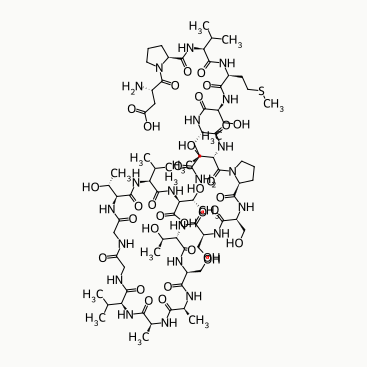 CSCC[C@H](NC(=O)[C@@H](NC(=O)[C@@H]1CCCN1C(=O)[C@@H](N)CC(=O)O)C(C)C)C(=O)N[C@H](C(=O)N[C@@H](CCC(N)=O)C(=O)N[C@H](C(=O)N1CCC[C@H]1C(=O)N[C@@H](CO)C(=O)N[C@@H](CO)C(=O)N[C@H](C(=O)N[C@@H](CO)C(=O)N[C@@H](C)C(=O)N[C@@H](C)C(=O)N[C@H](C(=O)NCC(=O)NCC(=O)N[C@H](C(=O)N[C@H](C(=O)N[C@H](C(=O)O)[C@@H](C)O)C(C)C)[C@@H](C)O)C(C)C)[C@@H](C)O)[C@@H](C)O)[C@@H](C)O